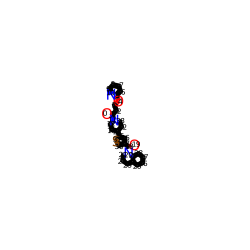 O=C(CCOc1ccccn1)N1CCC(c2cc(C(=O)N3CCCC4CCCCC43)cs2)CC1